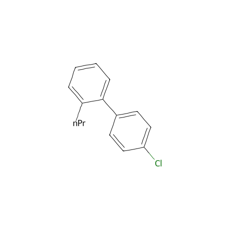 [CH2]CCc1ccccc1-c1ccc(Cl)cc1